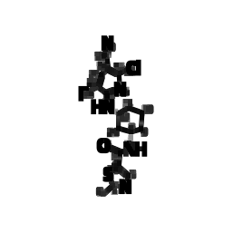 Cc1ncc(C(=O)N[C@H]2CCC[C@@H](Nc3nc(Cl)c(C#N)cc3F)C2)s1